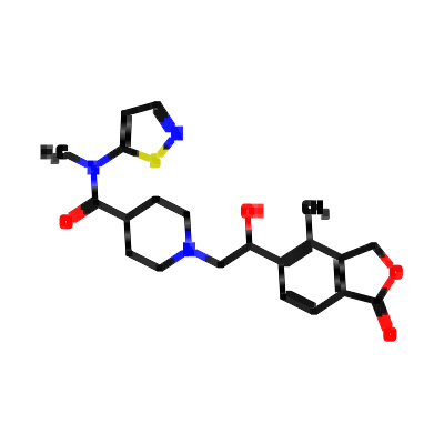 Cc1c(C(O)CN2CCC(C(=O)N(C)c3ccns3)CC2)ccc2c1COC2=O